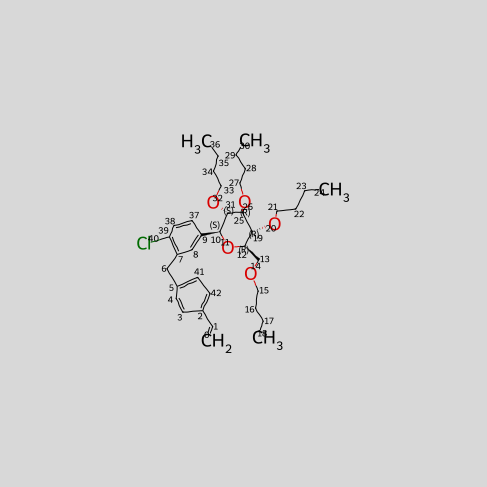 C=Cc1ccc(Cc2cc([C@@H]3O[C@H](COCCCC)[C@@H](OCCCC)[C@H](OCCCC)[C@H]3OCCCC)ccc2Cl)cc1